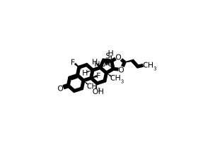 CCC[C@@H]1O[C@@H]2C[C@H]3[C@@H]4C[C@H](F)C5=CC(=O)CC[C@]5(C)[C@@]4(F)[C@@H](O)C[C@]3(C)[C@]2(C(O)=S)O1